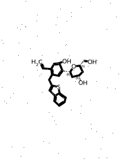 C=Cc1cc(O)c([C@H]2C[C@@H](O)C[C@@H](CO)O2)cc1Cc1cc2ccccc2s1